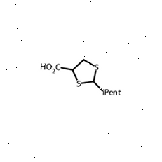 CCCC(C)C1SCC(C(=O)O)S1